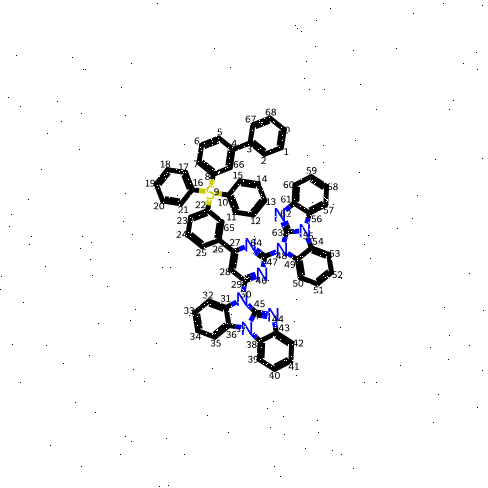 c1ccc(-c2cccc(S(c3ccccc3)(c3ccccc3)c3cccc(-c4cc(-n5c6ccccc6n6c7ccccc7nc56)nc(-n5c6ccccc6n6c7ccccc7nc56)n4)c3)c2)cc1